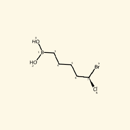 OB(O)CCCC[C@H](Cl)Br